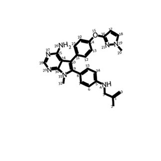 C=C(C)CNc1ccc(-c2c(-c3ccc(Oc4ccn(C)n4)cc3)c3c(N)ncnc3n2C)cc1